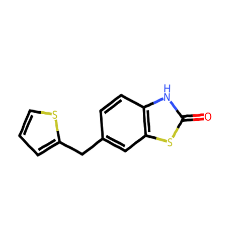 O=c1[nH]c2ccc(Cc3cccs3)cc2s1